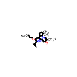 COCCCOC1=CC2=C(NC1C1CC1)c1cc(=O)c(C(=O)O)cn1C1C2CCC1(C)C